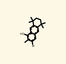 Cc1c(Br)cc2cc3c(cc2c1O)C(C)(C)CCC3(C)C